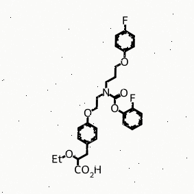 CCOC(Cc1ccc(OCCN(CCCOc2ccc(F)cc2)C(=O)Oc2ccccc2F)cc1)C(=O)O